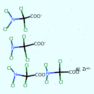 O=C([O-])C(Cl)(Cl)N(Cl)Cl.O=C([O-])C(Cl)(Cl)N(Cl)Cl.O=C([O-])C(Cl)(Cl)N(Cl)Cl.O=C([O-])C(Cl)(Cl)N(Cl)Cl.[Al].[Zr+4]